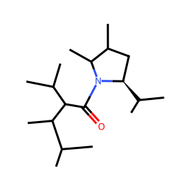 CC(C)C(C)C(C(=O)N1C(C)C(C)C[C@H]1C(C)C)C(C)C